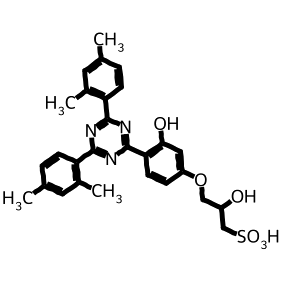 Cc1ccc(-c2nc(-c3ccc(C)cc3C)nc(-c3ccc(OCC(O)CS(=O)(=O)O)cc3O)n2)c(C)c1